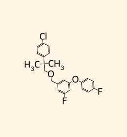 CC(C)(COCc1cc(F)cc(Oc2ccc(F)cc2)c1)c1ccc(Cl)cc1